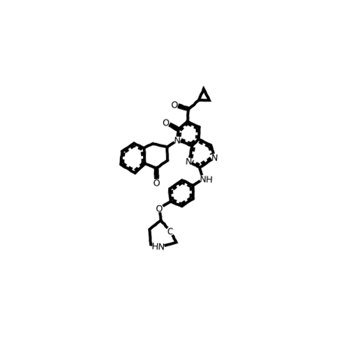 O=C1CC(n2c(=O)c(C(=O)C3CC3)cc3cnc(Nc4ccc(OC5CCNCC5)cc4)nc32)Cc2ccccc21